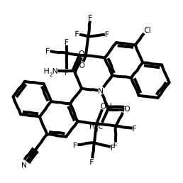 CC(=O)N(c1c(C(O)(C(F)(F)F)C(F)(F)F)cc(Cl)c2ccccc12)C(C(N)=O)c1c(C(O)(C(F)(F)F)C(F)(F)F)cc(C#N)c2ccccc12